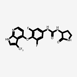 O=C(Nc1cc(F)c(Oc2ccnc3[nH]cc(C(F)(F)F)c23)c(F)c1)NC1CCNC1=O